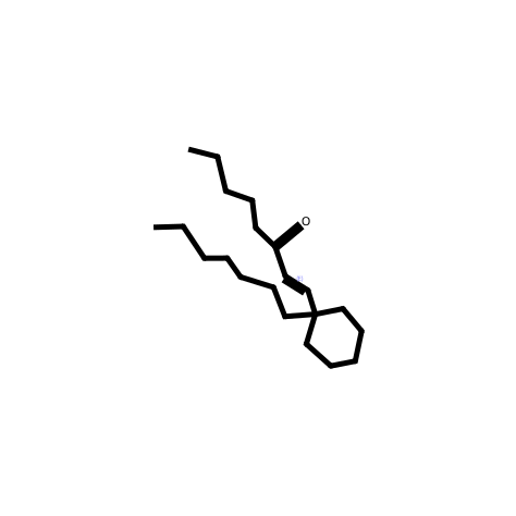 CCCCCCCC1(/C=C/C(=O)CCCCC)CCCCC1